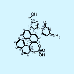 Nc1ccn([C@@H]2CS[C@H](CO)O2)c(=O)n1.O=P1(O)Oc2ccc3ccccc3c2-c2c(ccc3ccccc23)O1